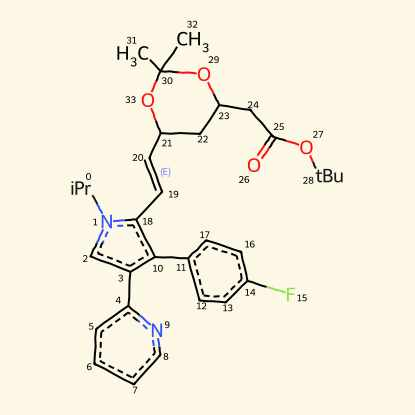 CC(C)n1cc(-c2ccccn2)c(-c2ccc(F)cc2)c1/C=C/C1CC(CC(=O)OC(C)(C)C)OC(C)(C)O1